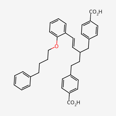 O=C(O)c1ccc(CCC(/C=C/c2ccccc2OCCCCc2ccccc2)Cc2ccc(C(=O)O)cc2)cc1